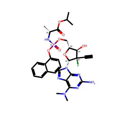 C#C[C@@]1(F)[C@H](O)[C@@H](CO[P@@](=O)(N[C@H](C)C(=O)OC(C)C)Oc2cccc3ccccc23)O[C@H]1n1cnc2c(N(C)C)nc(N)nc21